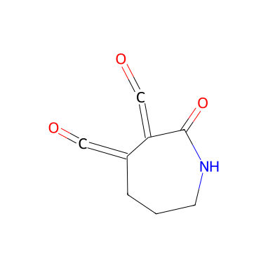 O=C=C1CCCNC(=O)C1=C=O